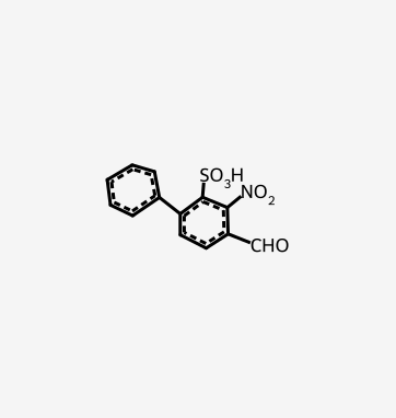 O=Cc1ccc(-c2ccccc2)c(S(=O)(=O)O)c1[N+](=O)[O-]